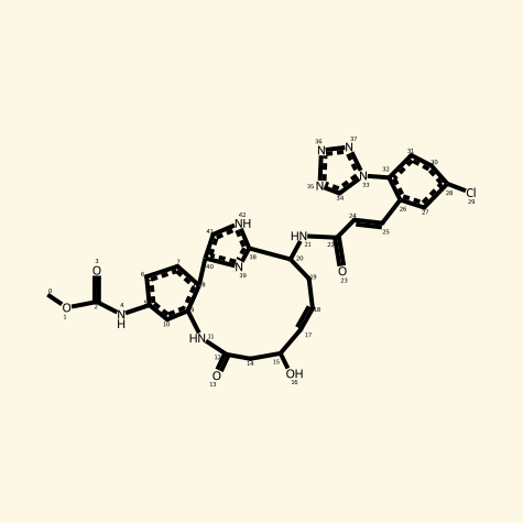 COC(=O)Nc1ccc2c(c1)NC(=O)CC(O)C=CCC(NC(=O)C=Cc1cc(Cl)ccc1-n1cnnn1)c1nc-2c[nH]1